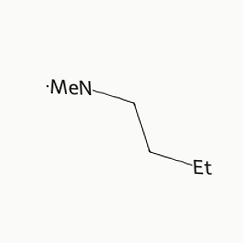 CCCC[N]C